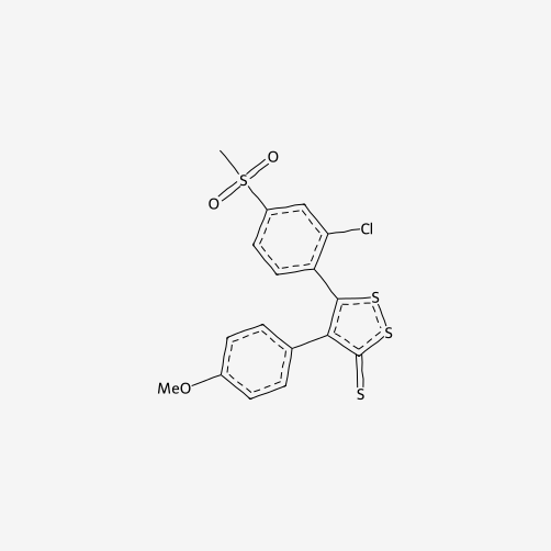 COc1ccc(-c2c(-c3ccc(S(C)(=O)=O)cc3Cl)ssc2=S)cc1